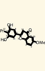 COc1ccc2oc(-c3cc(O)c(C(C)C)c(O)c3)cc(=O)c2c1